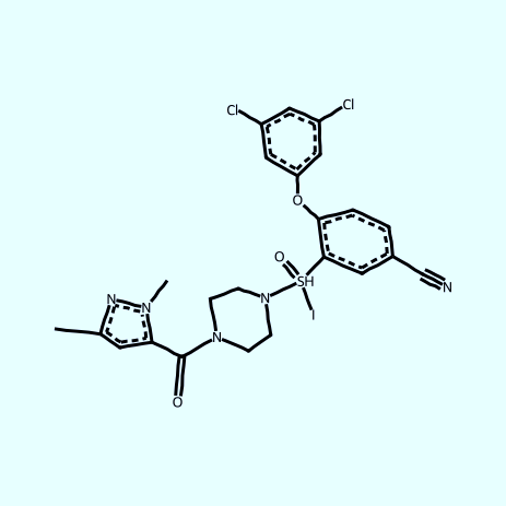 Cc1cc(C(=O)N2CCN([SH](=O)(I)c3cc(C#N)ccc3Oc3cc(Cl)cc(Cl)c3)CC2)n(C)n1